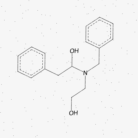 OCCN(Cc1ccccc1)C(O)Cc1ccccc1